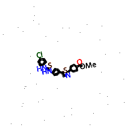 COC(=O)C1CCC(c2ncc(-c3ccc(NC(=S)Nc4ccc(Cl)cc4)cc3)s2)CC1